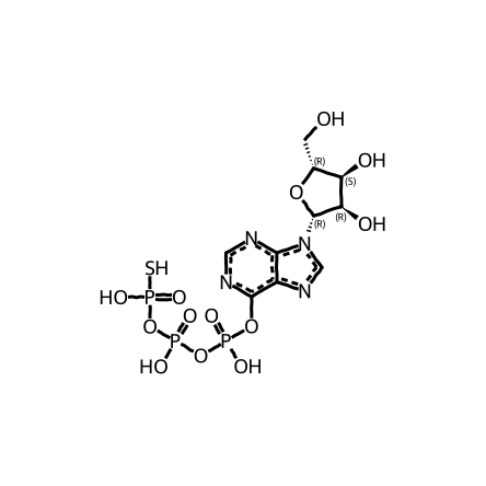 O=P(O)(S)OP(=O)(O)OP(=O)(O)Oc1ncnc2c1ncn2[C@@H]1O[C@H](CO)[C@@H](O)[C@H]1O